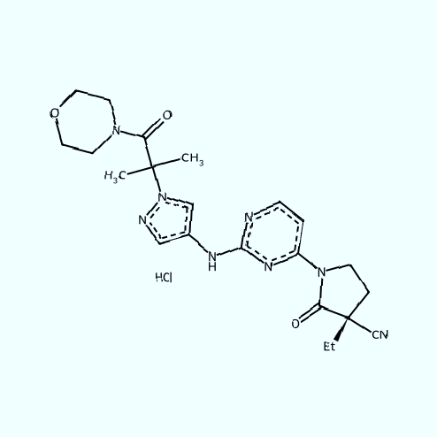 CC[C@]1(C#N)CCN(c2ccnc(Nc3cnn(C(C)(C)C(=O)N4CCOCC4)c3)n2)C1=O.Cl